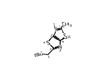 Cc1nc2sc(CC(C)(C)C)nc2s1